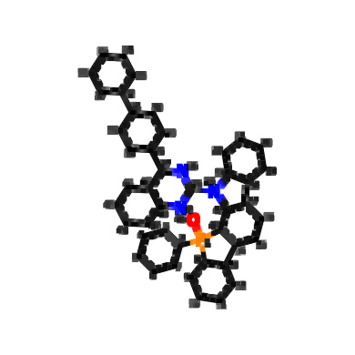 O=P1(c2ccccc2)c2ccccc2-c2ccc3c4ccccc4n(-c4nc(-c5ccc(-c6ccccc6)cc5)c5ccccc5n4)c3c21